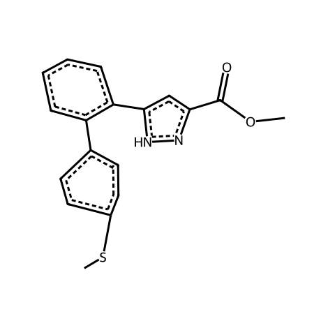 COC(=O)c1cc(-c2ccccc2-c2ccc(SC)cc2)[nH]n1